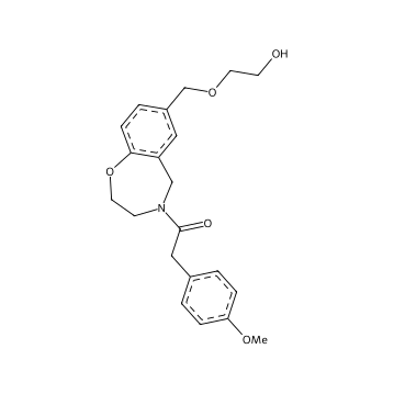 COc1ccc(CC(=O)N2CCOc3ccc(COCCO)cc3C2)cc1